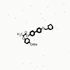 COC1=CC=C(OC(C)C(=O)Oc2ccc(-c3ccc(OCC4=CC=CCC4)cc3)cc2)CC1